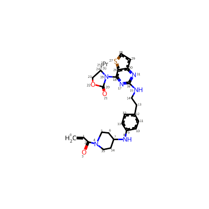 C=CC(=O)N1CCC(Nc2ccc(CCNc3nc(N4C(=O)OC[C@@H]4C(C)C)c4sccc4n3)cc2)CC1